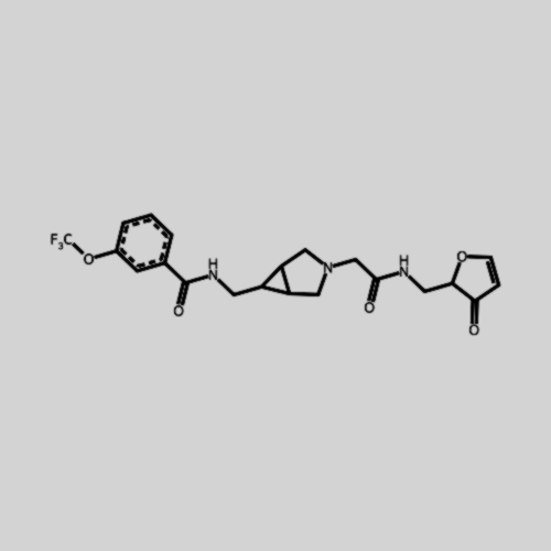 O=C(CN1CC2C(CNC(=O)c3cccc(OC(F)(F)F)c3)C2C1)NCC1OC=CC1=O